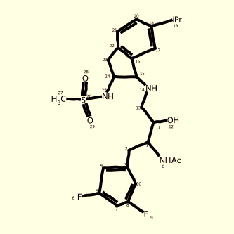 CC(=O)NC(Cc1cc(F)cc(F)c1)C(O)CNC1c2cc(C(C)C)ccc2CC1NS(C)(=O)=O